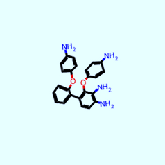 Nc1ccc(Oc2ccccc2-c2ccc(N)c(N)c2Oc2ccc(N)cc2)cc1